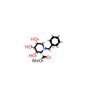 COC(=O)[C@@H]1[C@@H](O)[C@@H](O)[C@H](O)CN1Cc1ccccc1